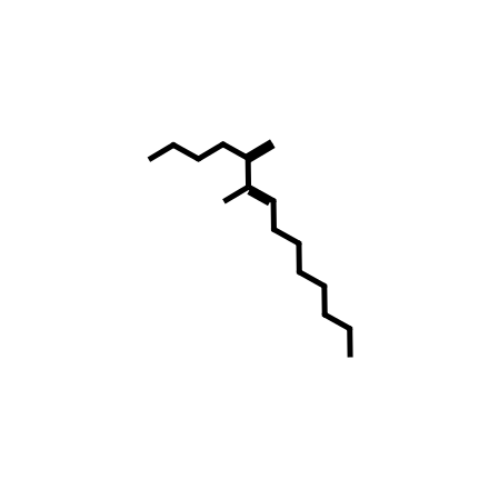 C=C(CCCC)C(C)=CCCCCCCC